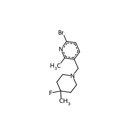 Cc1nc(Br)ccc1CN1CCC(C)(F)CC1